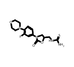 NC(=S)NCC1CN(c2ccc(N3CCOCC3)c(F)c2)C(=O)O1